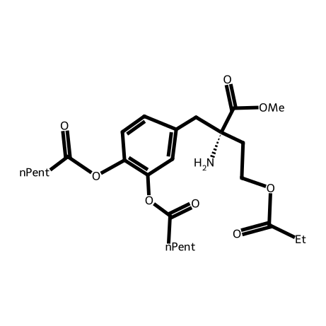 CCCCCC(=O)Oc1ccc(C[C@](N)(CCOC(=O)CC)C(=O)OC)cc1OC(=O)CCCCC